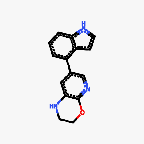 c1cc(-c2cnc3c(c2)NCCO3)c2cc[nH]c2c1